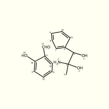 CC(N)(O)C(O)c1ccccc1.O=Cc1ccccc1O